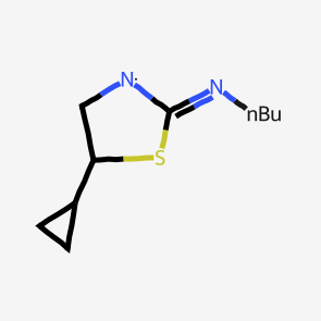 CCCCN=C1[N]CC(C2CC2)S1